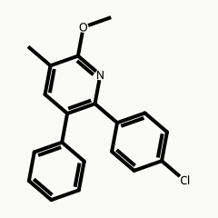 COc1nc(-c2ccc(Cl)cc2)c(-c2ccccc2)cc1C